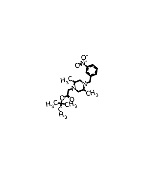 CC1CN(Cc2cccc([N+](=O)[O-])c2)C(C)CN1CC(=O)OC(C)(C)C